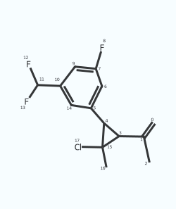 C=C(C)C1C(c2cc(F)cc(C(F)F)c2)C1(C)Cl